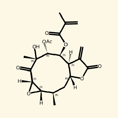 C=C(C)C(=O)O[C@H]1[C@H]2C(=C)C(=O)O[C@@H]2C[C@@H](C)[C@@H]2O[C@@H]2C(=O)[C@](C)(O)[C@@H]1OC(C)=O